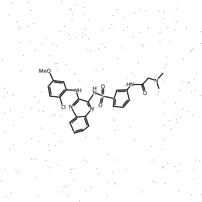 COc1ccc(Cl)c(Nc2nc3ccccc3nc2NS(=O)(=O)c2cccc(NC(=O)CN(C)C)c2)c1